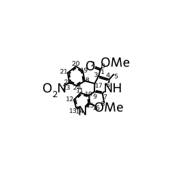 COC(=O)C1=C(C)NC(C)=C(c2cccnc2OC)C1c1cccc([N+](=O)[O-])c1